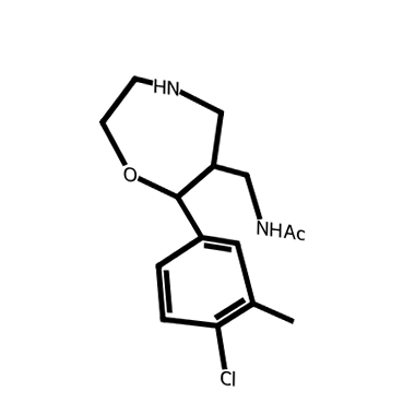 CC(=O)NCC1CNCCOC1c1ccc(Cl)c(C)c1